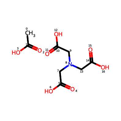 CC(=O)O.O=C(O)CN(CC(=O)O)CC(=O)O